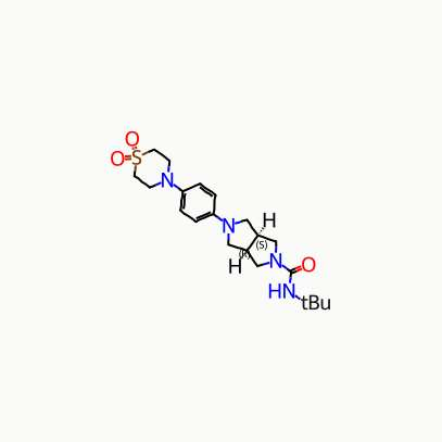 CC(C)(C)NC(=O)N1C[C@@H]2CN(c3ccc(N4CCS(=O)(=O)CC4)cc3)C[C@@H]2C1